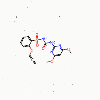 C=C=COc1ccccc1S(=O)(=O)NC(=O)Nc1nc(OC)cc(OC)n1